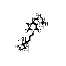 [2H]c1nc2c(c(=O)n(CCCC([2H])([2H])[C@@]([2H])(O)C([2H])([2H])[2H])c(=O)n2C)n1C([2H])([2H])[2H]